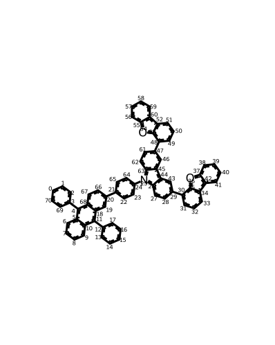 c1ccc(-c2c3ccccc3c(-c3ccccc3)c3cc(-c4ccc(-n5c6ccc(-c7cccc8c7oc7ccccc78)cc6c6cc(-c7cccc8c7oc7ccccc78)ccc65)cc4)ccc23)cc1